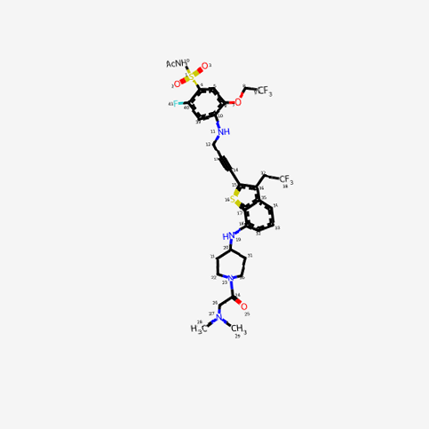 CC(=O)NS(=O)(=O)c1cc(OCC(F)(F)F)c(NCC#Cc2sc3c(NC4CCN(C(=O)CN(C)C)CC4)cccc3c2CC(F)(F)F)cc1F